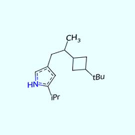 CC(C)c1cc(CC(C)C2CC(C(C)(C)C)C2)c[nH]1